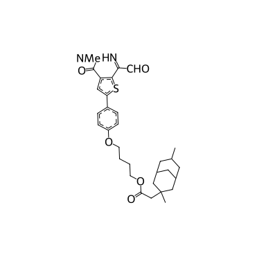 CNC(=O)c1cc(-c2ccc(OCCCCOC(=O)CC3(C)CC4CC(C)CC(C4)C3)cc2)sc1C(=N)C=O